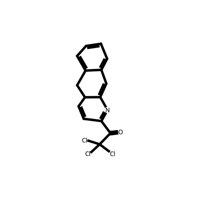 O=C(C1=NC2=Cc3ccccc3CC2C=C1)C(Cl)(Cl)Cl